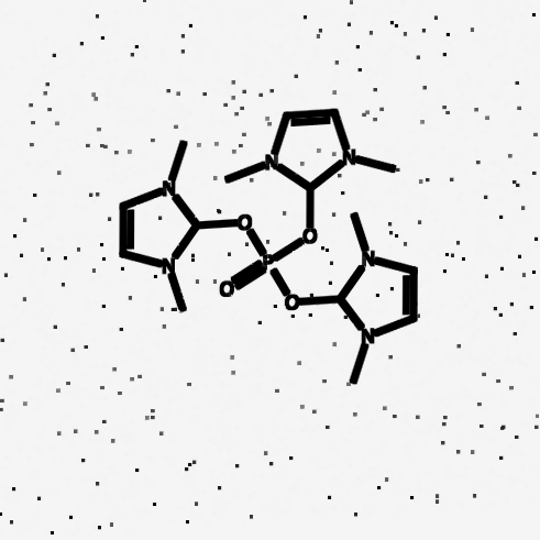 CN1C=CN(C)C1OP(=O)(OC1N(C)C=CN1C)OC1N(C)C=CN1C